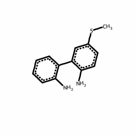 CSc1ccc(N)c(-c2ccccc2N)c1